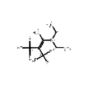 CCN(CC)C(C)=C(C(F)(F)F)C(F)(F)F